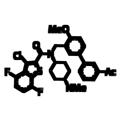 CN[C@H]1CC[C@@H](N(Cc2cc(-c3cccc(C(C)=O)c3)ccc2OC)C(=O)c2sc3c(F)ccc(F)c3c2Cl)CC1